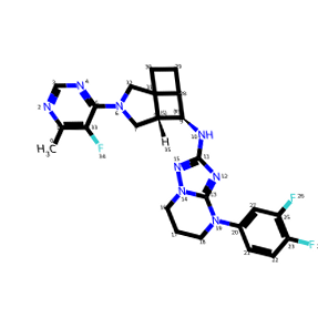 Cc1ncnc(N2C[C@H]3[C@H](Nc4nc5n(n4)CCCN5c4ccc(F)c(F)c4)C4CCC43C2)c1F